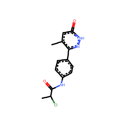 Cc1cc(=O)[nH]nc1-c1ccc(NC(=O)C(C)Cl)cc1